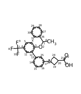 CC(Oc1ccc(C(F)(F)F)cc1-c1cccc(N2CC(C(=O)O)C2)c1)c1ccccc1